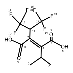 CC(C)/C(C(=O)O)=C(\C(=O)O)C(C(F)(F)F)C(F)(F)F